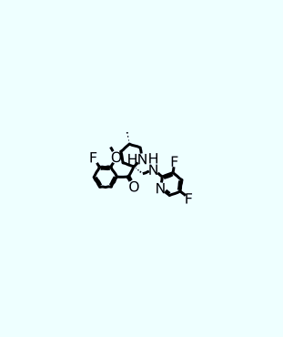 COc1c(F)cccc1C(=O)[C@@]1(CNc2ncc(F)cc2F)CC[C@H](C)CN1